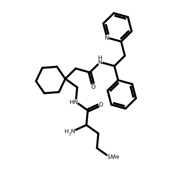 CSCCC(N)C(=O)NCC1(CC(=O)NC(Cc2ccccn2)c2ccccc2)CCCCC1